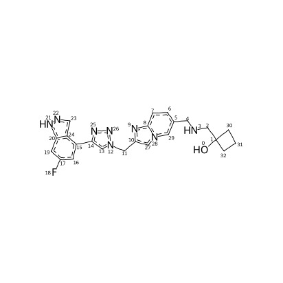 OC1(CNCc2ccc3nc(Cn4cc(-c5cc(F)cc6[nH]ncc56)nn4)cn3c2)CCC1